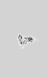 CC(C)(C)OC(=O)N1C(CCc2ccc(NC(=O)OCc3ccc(Cl)cc3)cc2)COC1(C)C